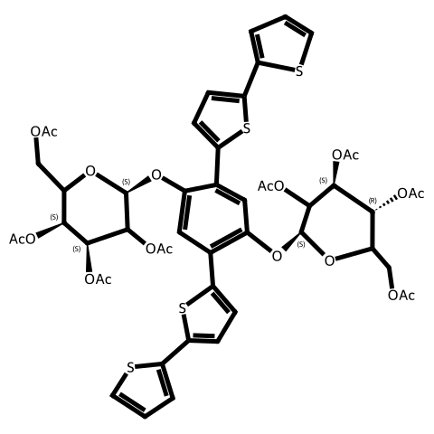 CC(=O)OCC1O[C@@H](Oc2cc(-c3ccc(-c4cccs4)s3)c(O[C@@H]3OC(COC(C)=O)[C@H](OC(C)=O)[C@H](OC(C)=O)C3OC(C)=O)cc2-c2ccc(-c3cccs3)s2)C(OC(C)=O)[C@@H](OC(C)=O)[C@@H]1OC(C)=O